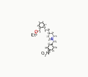 CCOCc1ccccc1CCC1CCN(Cc2ccc([N+](=O)[O-])cc2)CC1